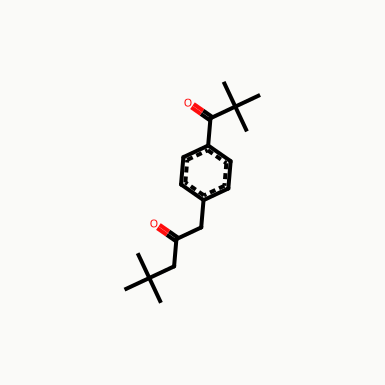 CC(C)(C)CC(=O)Cc1ccc(C(=O)C(C)(C)C)cc1